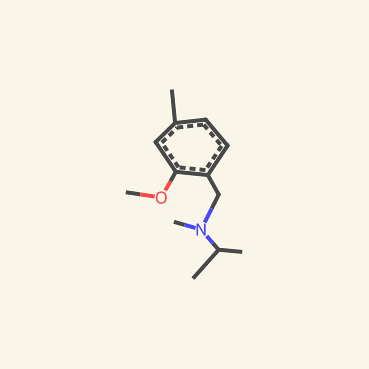 COc1cc(C)ccc1CN(C)C(C)C